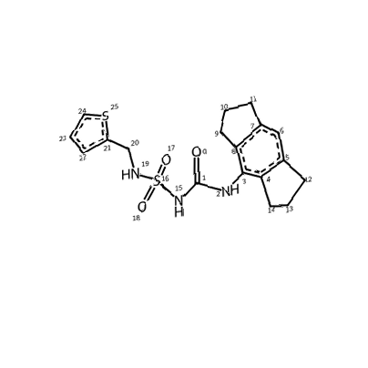 O=C(Nc1c2c(cc3c1CCC3)CCC2)NS(=O)(=O)NCc1cccs1